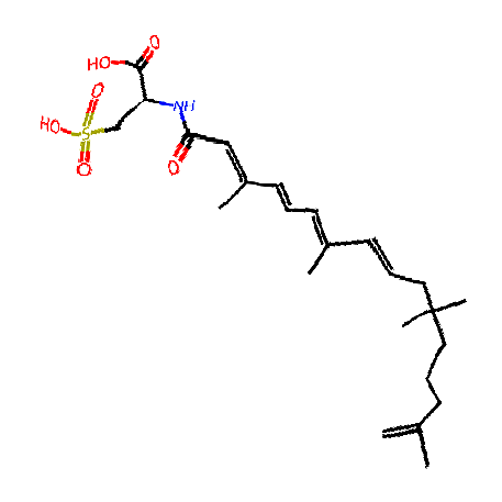 C=C(C)CCCC(C)(C)C/C=C/C(C)=C/C=C/C(C)=C/C(=O)N[C@@H](CS(=O)(=O)O)C(=O)O